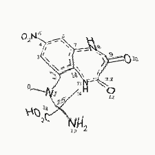 CN(c1cc([N+](=O)[O-])cc2[nH]c(=O)c(=O)[nH]c12)C(C)(N)C(=O)O